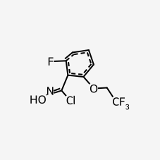 ON=C(Cl)c1c(F)cccc1OCC(F)(F)F